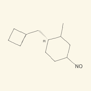 CC1CC(N=O)CC[C@@H]1CC1CCC1